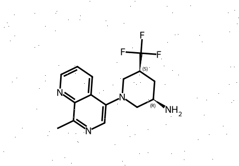 Cc1ncc(N2C[C@H](N)C[C@H](C(F)(F)F)C2)c2cccnc12